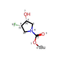 CC(C)(C)OC(=O)N1C[C@@H](O)[C@@H](F)C1